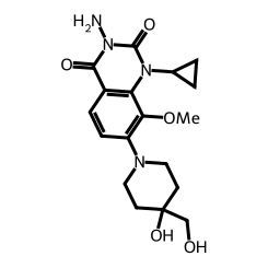 COc1c(N2CCC(O)(CO)CC2)ccc2c(=O)n(N)c(=O)n(C3CC3)c12